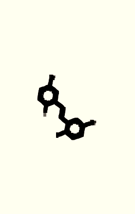 Brc1ccc(I)c(C=Cc2cc(Br)ccc2I)c1